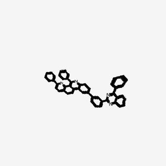 c1ccc(-c2ccc3ccc4c5cc(-c6cccc(-c7nc(-c8ccccc8)c8ccccc8n7)c6)ccc5nc(-c5ccccc5)c4c3n2)cc1